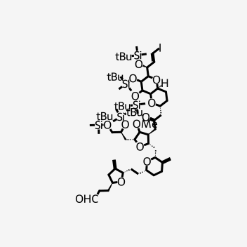 C=C1C[C@H](CCC=O)O[C@H]1CC[C@H]1CCC(=C)[C@@H](C[C@@H]2O[C@H](C[C@@H](CO[Si](C)(C)C(C)(C)C)O[Si](C)(C)C(C)(C)C)C(OC)[C@H]2CC(=O)C[C@H]2CC[C@@H]3OC([C@H](/C=C/I)O[Si](C)(C)C(C)(C)C)C(O[Si](C)(C)C(C)(C)C)C(O[Si](C)(C)C(C)(C)C)C3O2)O1